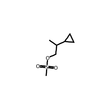 CC(COS(C)(=O)=O)C1CC1